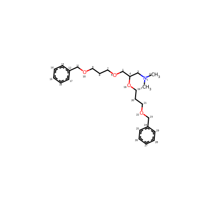 CN(C)CC(COCCCOCc1ccccc1)OCCCOCc1ccccc1